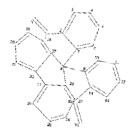 C=Cc1ccccc1C1(c2ccccc2C=C)c2ccccc2-c2ccccc21